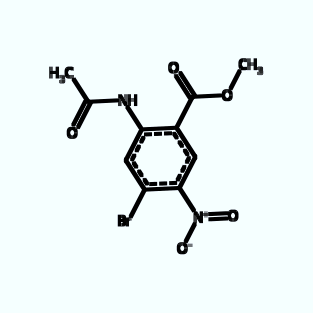 COC(=O)c1cc([N+](=O)[O-])c(Br)cc1NC(C)=O